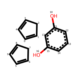 C1=CCC=C1.C1=CCC=C1.Oc1cccc(O)c1